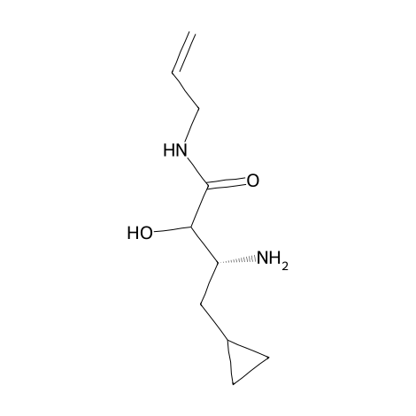 C=CCNC(=O)C(O)[C@H](N)CC1CC1